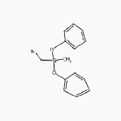 C[Si](CBr)(Oc1ccccc1)Oc1ccccc1